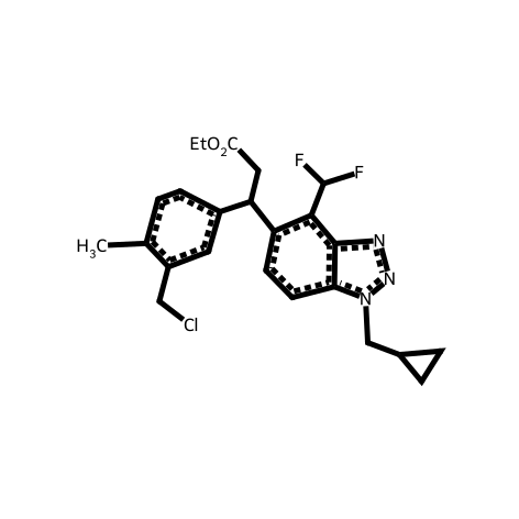 CCOC(=O)CC(c1ccc(C)c(CCl)c1)c1ccc2c(nnn2CC2CC2)c1C(F)F